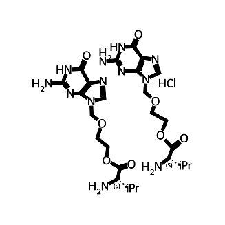 CC(C)[C@H](N)C(=O)OCCOCn1cnc2c(=O)[nH]c(N)nc21.CC(C)[C@H](N)C(=O)OCCOCn1cnc2c(=O)[nH]c(N)nc21.Cl